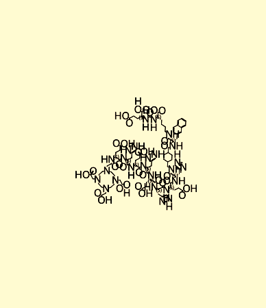 O=C(O)CC[C@H](NC(=O)N[C@@H](CCCCNC(=O)[C@H](Cc1ccc2ccccc2c1)NC(=O)C1CCC(CNC(=O)[C@H](Cc2c[nH]cn2)NC(=O)[C@H](CCC(=O)O)NC(=O)[C@H](Cc2c[nH]cn2)NC(=O)[C@H](CCC(=O)O)NC(=O)[C@H](Cc2c[nH]cn2)NC(=O)[C@H](CCC(=O)O)NC(=O)[C@H](Cc2c[nH]cn2)NC(=O)[C@H](CCC(=O)O)NC(=O)CN2CCN(CC(=O)O)CCN(CC(=O)O)CCN(CC(=O)O)CC2)CC1)C(=O)O)C(=O)O